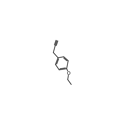 C#CCc1ccc(OCC)cc1